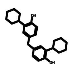 Oc1ccc(Cc2ccc(O)c(C3CCCCC3)c2)cc1C1CCCCC1